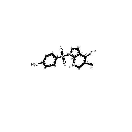 Cc1ccc(S(=O)(=O)n2ccc3c(F)c(Br)cnc32)cc1